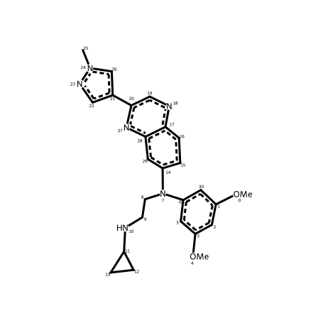 COc1cc(OC)cc(N(CCNC2CC2)c2ccc3ncc(-c4cnn(C)c4)nc3c2)c1